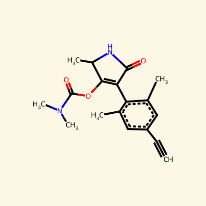 C#Cc1cc(C)c(C2=C(OC(=O)N(C)C)C(C)NC2=O)c(C)c1